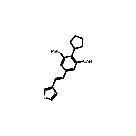 COc1cc(C=Cc2ccsc2)cc(OC)c1C1CCCC1